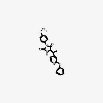 CC(c1ccnc(Oc2ccccc2)c1)C1NC(=O)N(c2ccc(SC(F)(F)F)cc2)C1=O